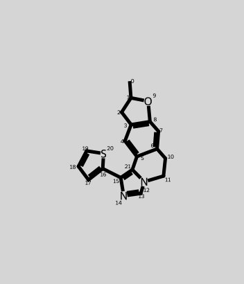 CC1Cc2cc3c(cc2O1)CCn1cnc(-c2cccs2)c1-3